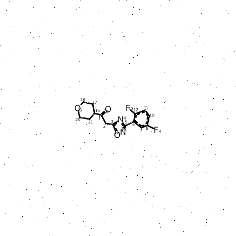 O=C(Cc1nc(-c2cc(F)ccc2F)no1)C1CCOCC1